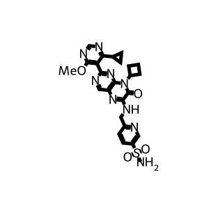 COc1ncnc(C2CC2)c1-c1ncc2nc(NCc3ccc(S(N)(=O)=O)cn3)c(=O)n(C3CCC3)c2n1